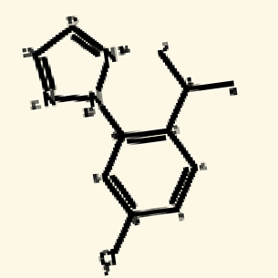 CC(C)c1ccc(Cl)cc1-n1nccn1